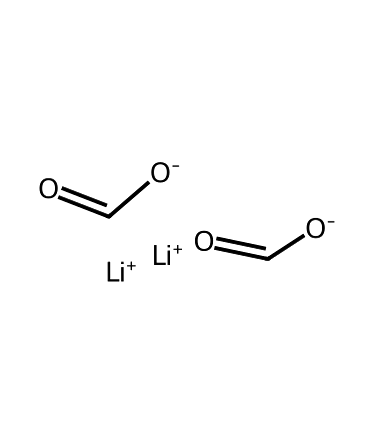 O=C[O-].O=C[O-].[Li+].[Li+]